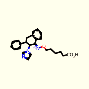 O=C(O)CCCCCO/N=C1\c2ccccc2CC(c2ccccc2)C1n1ccnc1